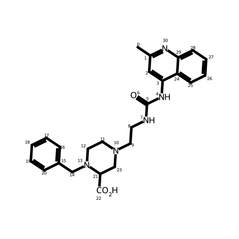 Cc1cc(NC(=O)NCCN2CCN(Cc3ccccc3)C(C(=O)O)C2)c2ccccc2n1